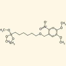 COc1cc(COCCCCCC[Si](OC)(OC)OC)c([N+](=O)[O-])cc1OC